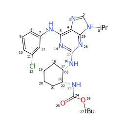 CC(C)n1cnc2c(Nc3cccc(Cl)c3)nc(N[C@H]3CCCC[C@H]3NC(=O)OC(C)(C)C)nc21